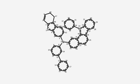 C1=Cc2sc3cc(N(c4cccc(-c5ccccc5)c4)c4ccc5ccc6c7ccccc7n(-c7ccccc7)c6c5c4)ccc3c2CC1